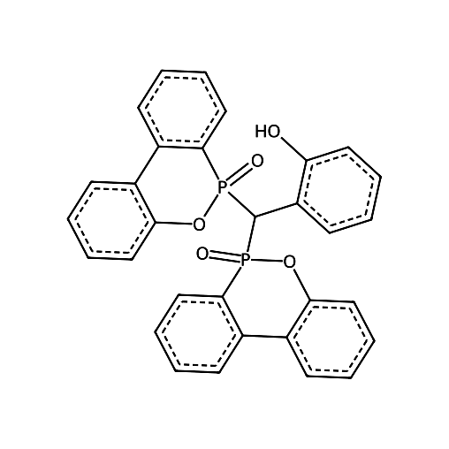 O=P1(C(c2ccccc2O)P2(=O)Oc3ccccc3-c3ccccc32)Oc2ccccc2-c2ccccc21